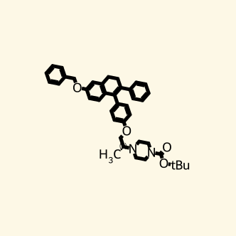 C[C@H](COc1ccc(C2=C(c3ccccc3)CCc3cc(OCc4ccccc4)ccc32)cc1)N1CCN(C(=O)OC(C)(C)C)CC1